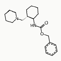 O=C(NC1CCCC[C@H]1CN1CCCCC1)OCc1ccccc1